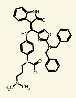 CCC(=O)N(CCCN(C)C)c1ccc(NC(=C2C(=O)Nc3ccccc32)c2coc(N(Cc3ccccc3)Cc3ccccc3)n2)cc1